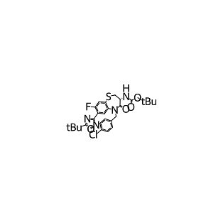 CC(C)(C)OC(=O)N[C@H]1CSc2cc(F)c(-c3noc(C(C)(C)C)n3)cc2N(Cc2ccc(Cl)cc2)C1=O